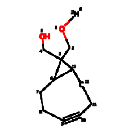 [2H]OCC1(CO)C2CCC#CCCC21